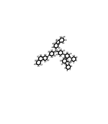 c1ccc(-n2c3ccccc3c3ccccc32)c(-c2ccc(-c3ccc(N(c4ccc(-c5ccc6c(ccc7ccccc76)c5)cc4)c4ccc5sc6ccccc6c5c4)cc3)cc2)c1